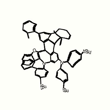 Cc1ccccc1-c1cc2c3c(c1)C1(C)CCCCC1(C)C3c1cc(N(c3ccc(C(C)(C)C)cc3)c3ccc(C(C)(C)C)cc3)cc3c1C2c1oc2ccccc2c1N3c1ccc(C(C)(C)C)cc1-c1ccccc1